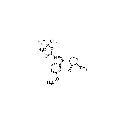 COc1ccc2c(c1)c(C1CCN(C)C1=O)cn2C(=O)OC(C)(C)C